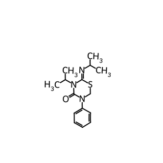 CC(C)N=C1SCN(c2ccccc2)C(=O)N1C(C)C